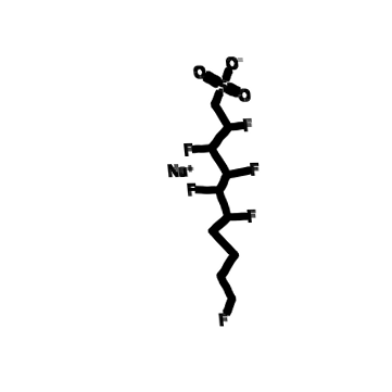 O=S(=O)([O-])CC(F)C(F)C(F)C(F)C(F)CCCCF.[Na+]